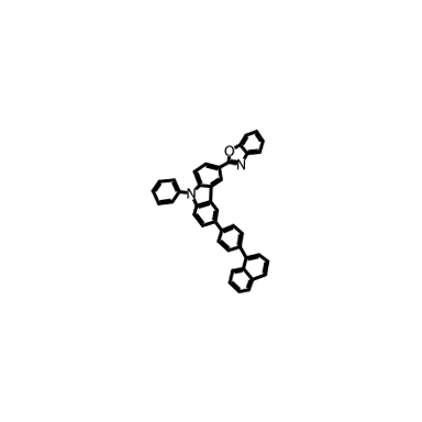 c1ccc(-n2c3ccc(-c4ccc(-c5cccc6ccccc56)cc4)cc3c3cc(-c4nc5ccccc5o4)ccc32)cc1